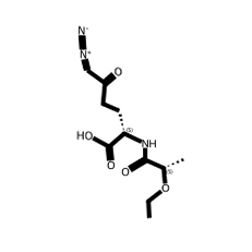 CCO[C@@H](C)C(=O)N[C@@H](CCC(=O)C=[N+]=[N-])C(=O)O